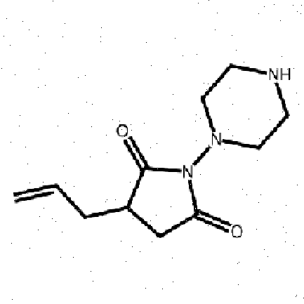 C=CCC1CC(=O)N(N2CCNCC2)C1=O